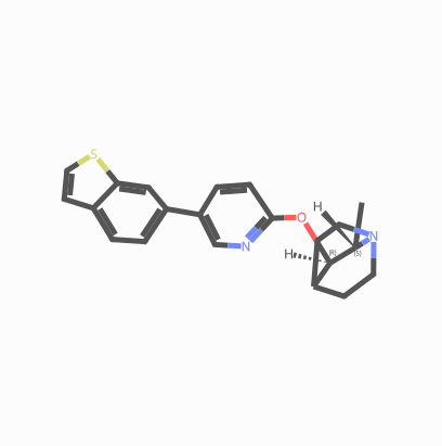 C[C@H]1[C@H](Oc2ccc(-c3ccc4ccsc4c3)cn2)C2CCN1CC2